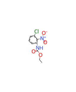 CCOC(=O)Nc1cccc(Cl)c1[N+](=O)[O-]